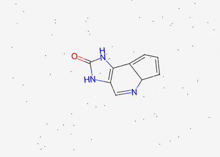 O=c1[nH]c2c([nH]1)C1=CC=CC1N=C2